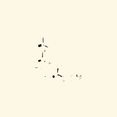 O.O.O.O=[Si](O)O.O=[Si](O)O.O=[Si](O)O.[CaH2].[CaH2].[CaH2]